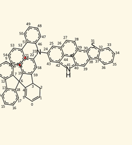 C1=CCC2C(=C1)C1(c3ccccc3-c3ccccc31)c1ccc(N(c3cc4ccc5c6sc7ccccc7c6cc6[nH]c(c3)c4c65)c3ccccc3-c3ccccc3)cc12